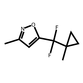 Cc1cc(C(F)(F)C2(C)CC2)on1